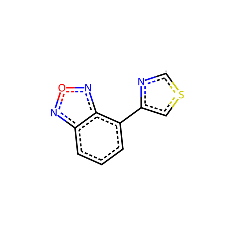 [c]1nc(-c2cccc3nonc23)cs1